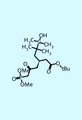 COP(=O)(CC(=O)C[C@H](CC(=O)OC(C)(C)C)CC(C)(C)[Si](C)(C)O)OC